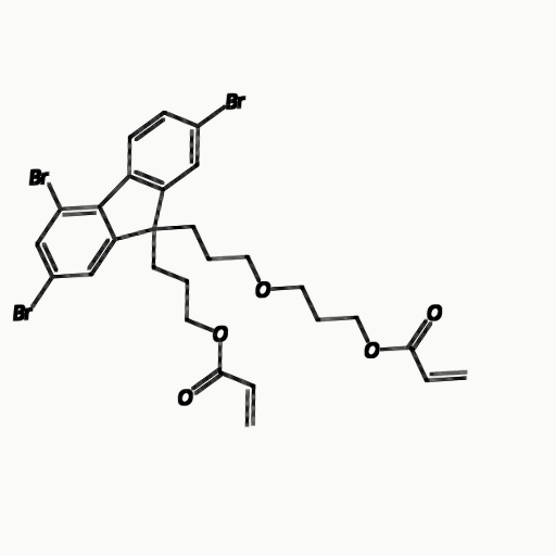 C=CC(=O)OCCCOCCCC1(CCCOC(=O)C=C)c2cc(Br)ccc2-c2c(Br)cc(Br)cc21